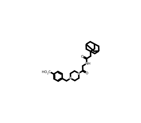 O=C(CC12CC3CC(CC(C3)C1)C2)NCC(=O)N1CCN(Cc2ccc(C(=O)O)cc2)CC1